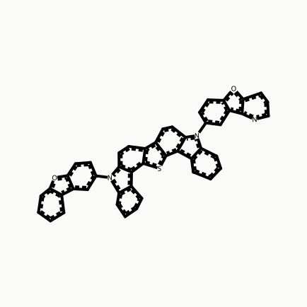 c1ccc2c(c1)oc1ccc(-n3c4ccccc4c4c5sc6c(ccc7c6c6ccccc6n7-c6ccc7oc8cccnc8c7c6)c5ccc43)cc12